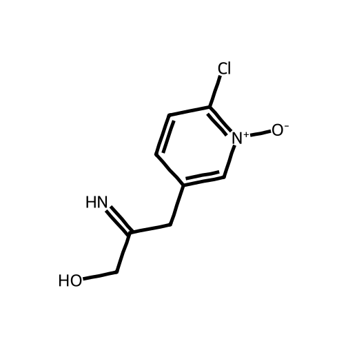 N=C(CO)Cc1ccc(Cl)[n+]([O-])c1